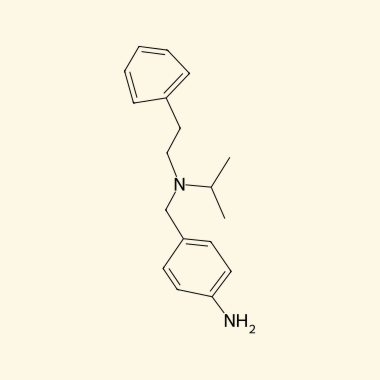 CC(C)N(CCc1ccccc1)Cc1ccc(N)cc1